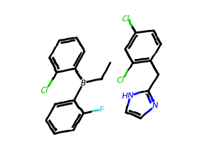 CCB(c1ccccc1F)c1ccccc1Cl.Clc1ccc(Cc2ncc[nH]2)c(Cl)c1